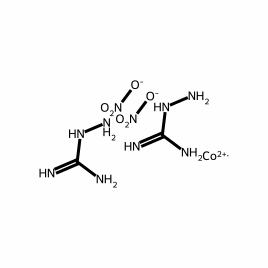 N=C(N)NN.N=C(N)NN.O=[N+]([O-])[O-].O=[N+]([O-])[O-].[Co+2]